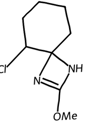 COC1=NC2(CCCCC2Cl)N1